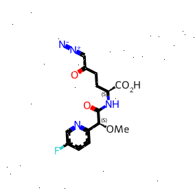 CO[C@H](C(=O)N[C@@H](CCC(=O)C=[N+]=[N-])C(=O)O)c1ccc(F)cn1